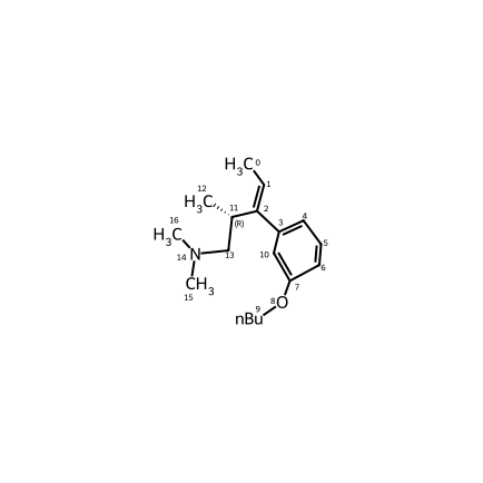 CC=C(c1cccc(OCCCC)c1)[C@@H](C)CN(C)C